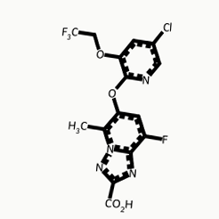 Cc1c(Oc2ncc(Cl)cc2OCC(F)(F)F)cc(F)c2nc(C(=O)O)nn12